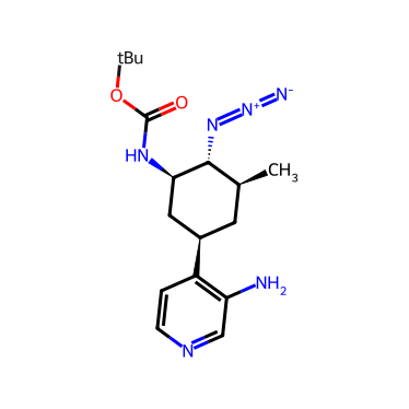 C[C@H]1C[C@@H](c2ccncc2N)C[C@@H](NC(=O)OC(C)(C)C)[C@@H]1N=[N+]=[N-]